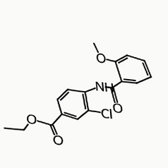 CCOC(=O)c1ccc(NC(=O)c2ccccc2OC)c(Cl)c1